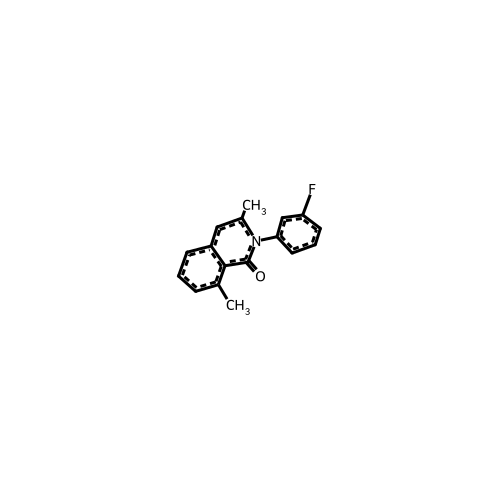 Cc1cccc2cc(C)n(-c3cccc(F)c3)c(=O)c12